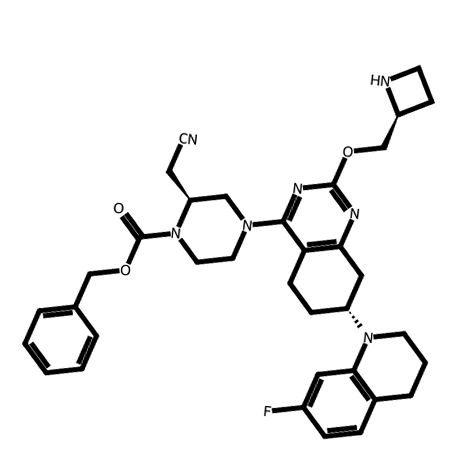 N#CC[C@H]1CN(c2nc(OC[C@@H]3CCN3)nc3c2CC[C@@H](N2CCCc4ccc(F)cc42)C3)CCN1C(=O)OCc1ccccc1